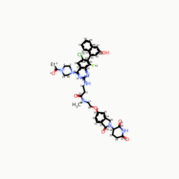 CCC(=O)N1CCN(c2nc(NCCC(=O)N(C)CCOc3ccc4c(c3)CN(C3CCC(=O)NC3=O)C4=O)nc3c(F)c(-c4cc(O)cc5ccccc45)c(Cl)cc23)CC1